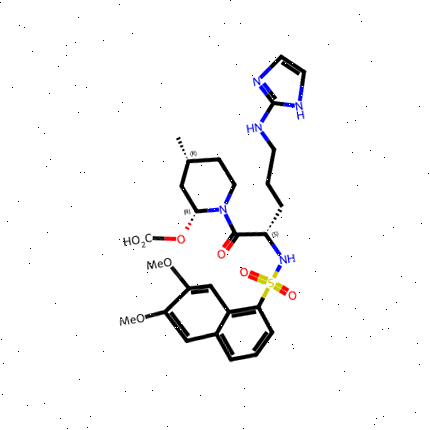 COc1cc2cccc(S(=O)(=O)N[C@@H](CCCNc3ncc[nH]3)C(=O)N3CC[C@@H](C)C[C@H]3OC(=O)O)c2cc1OC